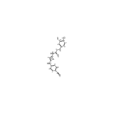 N#Cc1cnc(NC23CC(NC(=O)COc4ccc(Cl)c(F)c4)(C2)C3)cn1